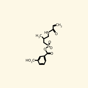 C=CC(=O)NCC(C)CS(=O)(=O)OC(=O)c1cccc(C(=O)O)c1